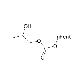 CCCCCOC(=O)OCC(C)O